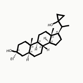 CC[C@]1(O)CC[C@@]2(C)[C@@H](CC[C@@H]3[C@@H]2CC[C@]2(C)[C@@H](C(C)C4(O)CC4)CC[C@@H]32)C1